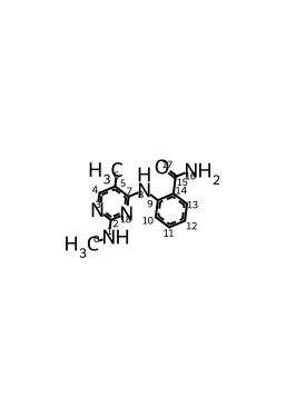 CNc1ncc(C)c(Nc2ccccc2C(N)=O)n1